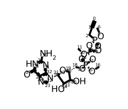 C#CCP(=O)(OC)OP(=O)(OC)OP(=O)(OC)OC[C@H]1O[C@@H](n2cnc3c(=O)[nH]c(N)nc32)C(O)C1O